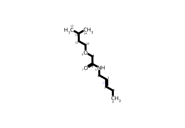 CC/C=C/CNC(=O)COCCC(C)C